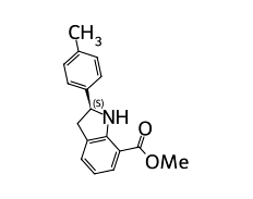 COC(=O)c1cccc2c1N[C@H](c1ccc(C)cc1)C2